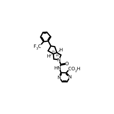 O=C(O)c1nccnc1NC(=O)N1C[C@H]2CC(c3ccccc3C(F)(F)F)C[C@H]2C1